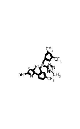 CCCc1nc(-c2ccc(C(F)(F)F)cc2CN(Cc2cc(C(F)(F)F)cc(C(F)(F)F)c2)c2nnn(C)n2)c(CC)s1